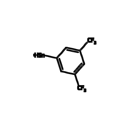 FC(F)(F)c1c[c]([SnH])cc(C(F)(F)F)c1